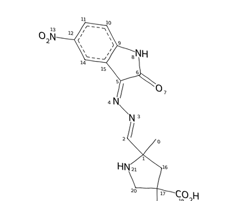 CC1(C=NN=C2C(=O)Nc3ccc([N+](=O)[O-])cc32)CC(C)(C(=O)O)CN1